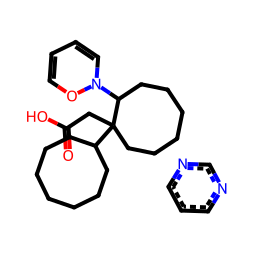 O=C(O)CC1(C2CCCCCCC2)CCCCCCC1N1C=CC=CO1.c1cncnc1